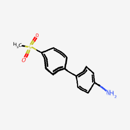 CS(=O)(=O)c1ccc(-c2ccc(N)cc2)cc1